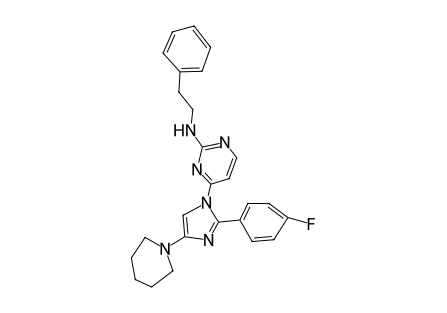 Fc1ccc(-c2nc(N3CCCCC3)cn2-c2ccnc(NCCc3ccccc3)n2)cc1